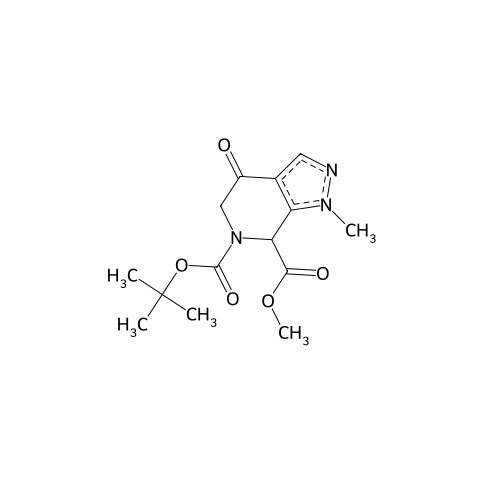 COC(=O)C1c2c(cnn2C)C(=O)CN1C(=O)OC(C)(C)C